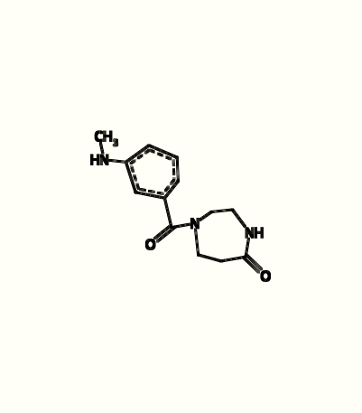 CNc1cccc(C(=O)N2CCNC(=O)CC2)c1